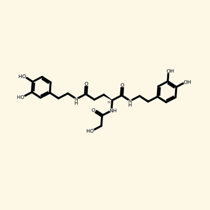 O=C(CC[C@H](NC(=O)CO)C(=O)NCCc1ccc(O)c(O)c1)NCCc1ccc(O)c(O)c1